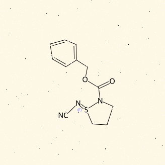 N#C/N=S1\CCCN1C(=O)OCc1ccccc1